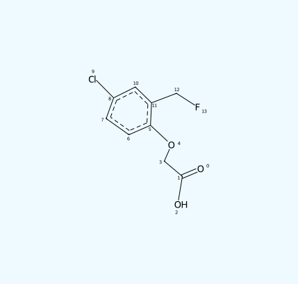 O=C(O)COc1ccc(Cl)cc1CF